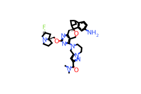 CN(C)C(=O)c1cc2n(n1)CCCN(c1nc(OC[C@@]34CCCN3C[C@H](F)C4)nc3c1CO[C@@]1(C3)c3cc(N)ccc3C3CC1C3)C2